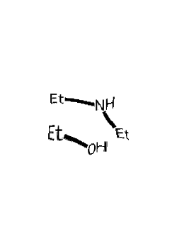 CCNCC.CCO